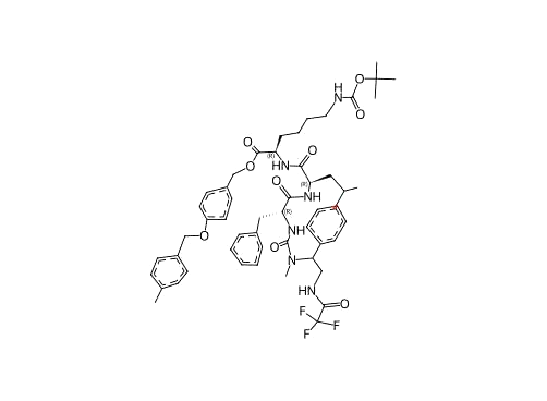 Cc1ccc(COc2ccc(COC(=O)[C@@H](CCCCNC(=O)OC(C)(C)C)NC(=O)[C@@H](CC(C)C)NC(=O)[C@@H](Cc3ccccc3)NC(=O)N(C)C(CNC(=O)C(F)(F)F)c3ccccc3)cc2)cc1